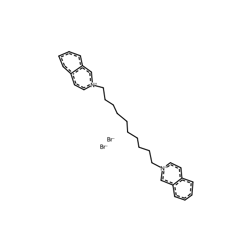 [Br-].[Br-].c1ccc2c[n+](CCCCCCCCCC[n+]3ccc4ccccc4c3)ccc2c1